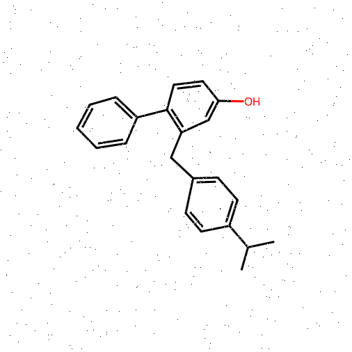 CC(C)c1ccc(Cc2cc(O)ccc2-c2ccccc2)cc1